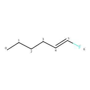 CCCCC=CF